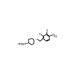 CCCCCCC[C@H]1CC[C@H](CCc2ccc(OCC)c(F)c2F)CC1